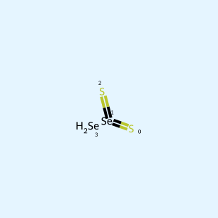 S=[Se]=S.[SeH2]